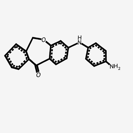 Nc1ccc(Nc2ccc3c(c2)OCc2ccccc2C3=O)cc1